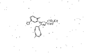 CCOC(=O)C1(O)CN(c2cc(Cl)ccc2C)C(c2ccc(C)cc2)=N1